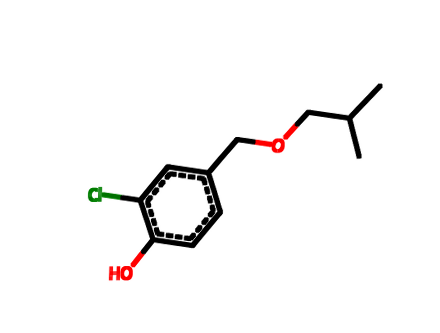 CC(C)COCc1ccc(O)c(Cl)c1